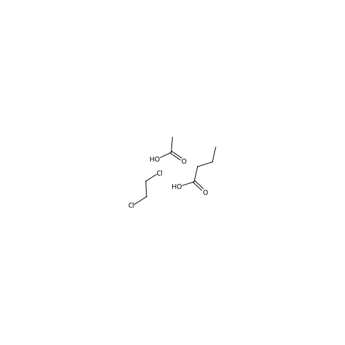 CC(=O)O.CCCC(=O)O.ClCCCl